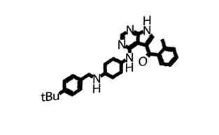 Cc1ccccc1C(=O)c1c[nH]c2ncnc(NC3CCC(NCc4ccc(C(C)(C)C)cc4)CC3)c12